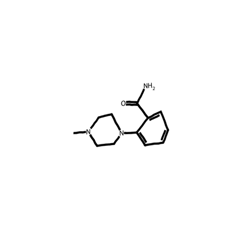 CN1CCN(c2ccccc2C(N)=O)CC1